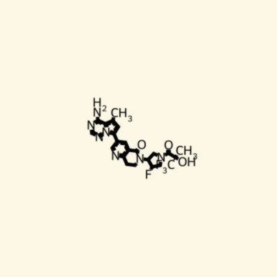 Cc1cc(-c2cnc3c(c2)C(=O)N(C2CN(C(=O)[C@@](C)(O)C(F)(F)F)CC2F)CC3)n2ncnc(N)c12